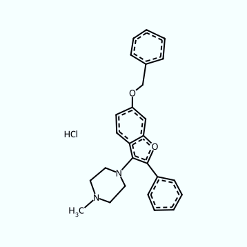 CN1CCN(c2c(-c3ccccc3)oc3cc(OCc4ccccc4)ccc23)CC1.Cl